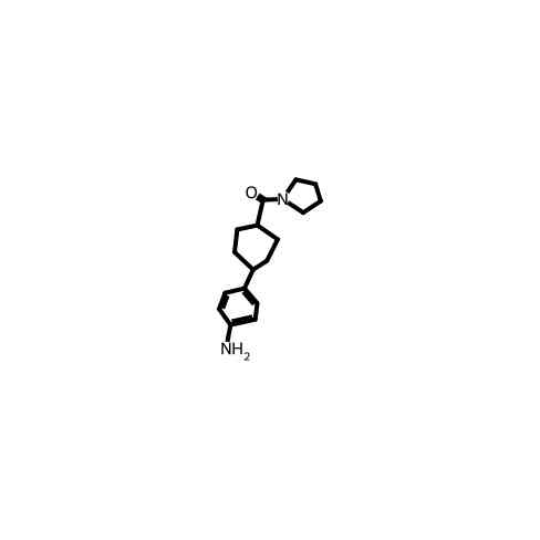 Nc1ccc(C2CCC(C(=O)N3CCCC3)CC2)cc1